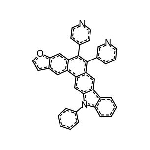 c1ccc(-n2c3ccccc3c3cc4c(-c5cccnc5)c(-c5ccncc5)c5cc6occc6cc5c4cc32)cc1